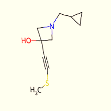 CSC#CC1(O)CN(CC2CC2)C1